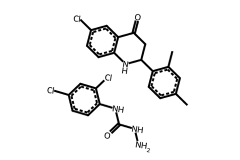 Cc1ccc(C2CC(=O)c3cc(Cl)ccc3N2)c(C)c1.NNC(=O)Nc1ccc(Cl)cc1Cl